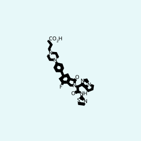 O=C(O)CCCN1CCN(c2ccc(-c3cc(F)c4c(c3)C(=O)N(C(C(=O)Nc3nccs3)c3ncn5c3CCC5)C4)cc2)CC1